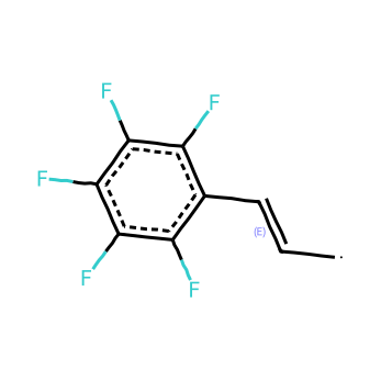 [CH2]/C=C/c1c(F)c(F)c(F)c(F)c1F